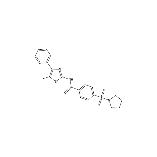 Cc1sc(NC(=O)c2ccc(S(=O)(=O)N3CCCC3)cc2)nc1-c1ccccc1